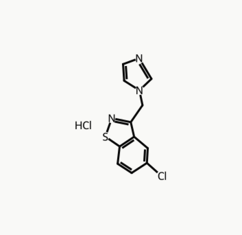 Cl.Clc1ccc2snc(Cn3ccnc3)c2c1